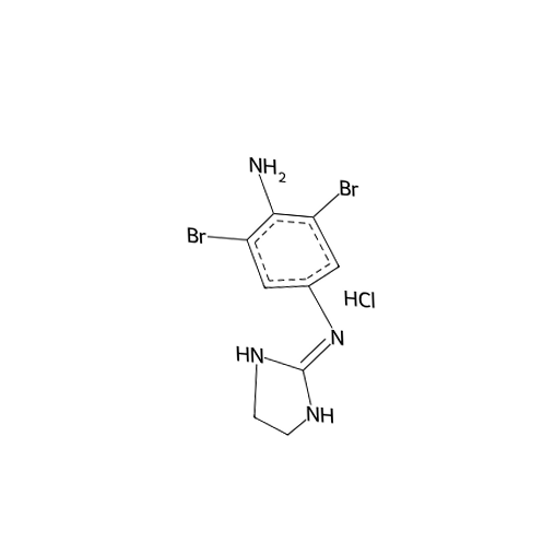 Cl.Nc1c(Br)cc(N=C2NCCN2)cc1Br